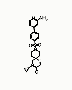 Nc1cc(-c2ccc(S(=O)(=O)N3CCC4(CC3)CN(C3CC3)C(=O)CO4)cc2)ccn1